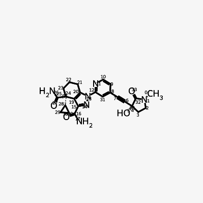 CN1CC[C@@](O)(C#Cc2ccnc(-n3nc(C(N)=O)c4c3CCC[C@@]4(C(N)=O)C3CC3)c2)C1=O